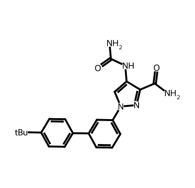 CC(C)(C)c1ccc(-c2cccc(-n3cc(NC(N)=O)c(C(N)=O)n3)c2)cc1